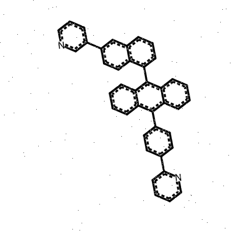 c1ccc(-c2ccc(-c3c4ccccc4c(-c4cccc5cc(-c6cccnc6)ccc45)c4ccccc34)cc2)nc1